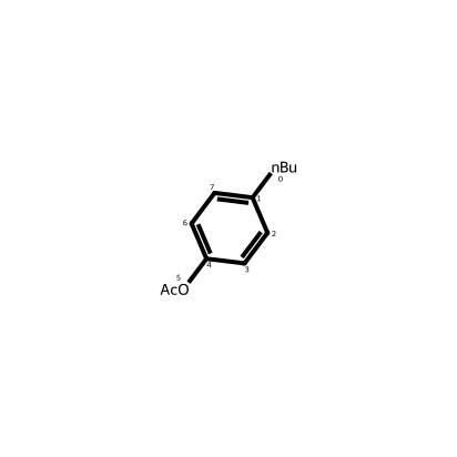 [CH2]CCCc1ccc(OC(C)=O)cc1